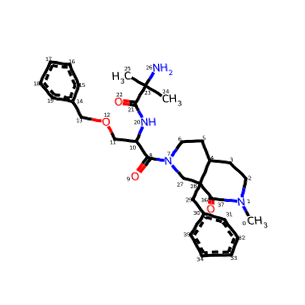 CN1CCC2CCN(C(=O)C(COCc3ccccc3)NC(=O)C(C)(C)N)CC2(Cc2ccccc2)C1=O